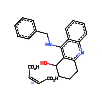 O=C(O)/C=C\C(=O)O.OC1CCCc2nc3ccccc3c(NCc3ccccc3)c21